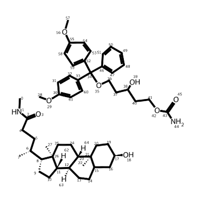 CNC(=O)CC[C@@H](C)[C@H]1CC[C@H]2[C@@H]3CCC4C[C@H](O)CC[C@]4(C)[C@H]3CC[C@]12C.COc1ccc(C(OCCC(O)CCOC(N)=O)(c2ccccc2)c2ccc(OC)cc2)cc1